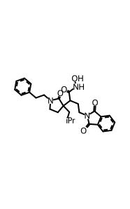 CC(C)CC1(C(CCN2C(=O)c3ccccc3C2=O)C(=O)NO)CCN(CCc2ccccc2)C1=O